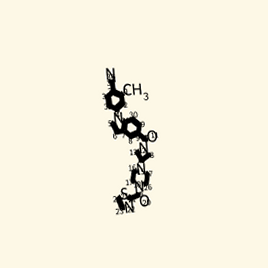 Cc1cc(-n2ccc3cc(C(=O)N4CC(N5CCN(C(=O)c6nccs6)CC5)C4)ccc32)ccc1C#N